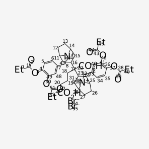 CCC(=O)Oc1ccc(C[N+]2(C)C3CCC2CC(C(CCCC(=O)O)(C(=O)O)C2CC4CCC(C2)[N+]4(C)Cc2ccc(OC(=O)CC)c(OC(=O)CC)c2)C3)cc1OC(=O)CC.[Br-].[Br-]